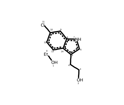 CCO.OCCc1c[nH]c2cc(Cl)ccc12